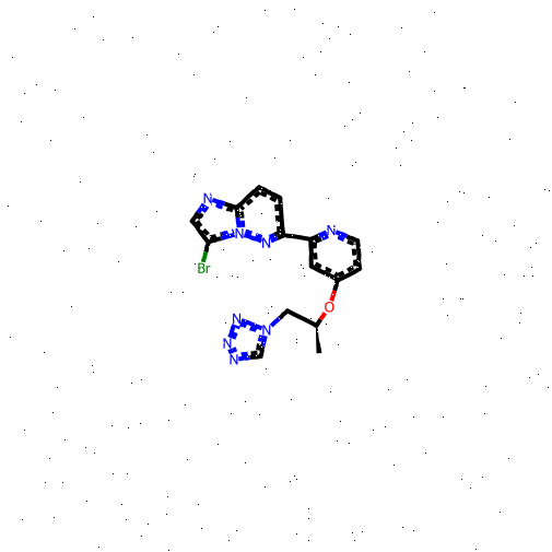 C[C@@H](Cn1cnnn1)Oc1ccnc(-c2ccc3ncc(Br)n3n2)c1